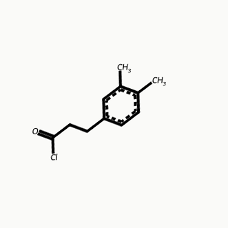 Cc1ccc(CCC(=O)Cl)cc1C